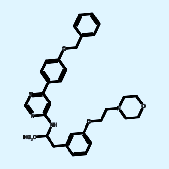 O=C(O)C(Cc1cccc(OCCN2CCOCC2)c1)Nc1cc(-c2ccc(OCc3ccccc3)cc2)ncn1